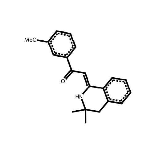 COc1cccc(C(=O)/C=C2\NC(C)(C)Cc3ccccc32)c1